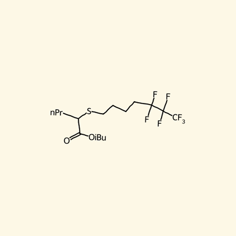 CCCC(SCCCCC(F)(F)C(F)(F)C(F)(F)F)C(=O)OCC(C)C